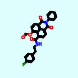 O=COc1ccc2c3c(ccc(C(=O)NCCc4ccc(F)cc4)c13)C(=O)N(c1ccccc1)C2=O